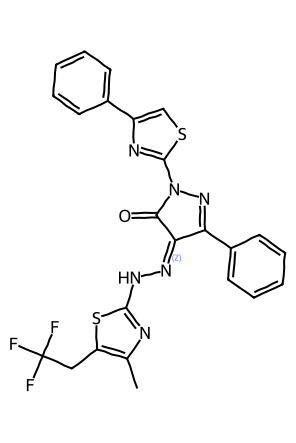 Cc1nc(N/N=C2\C(=O)N(c3nc(-c4ccccc4)cs3)N=C2c2ccccc2)sc1CC(F)(F)F